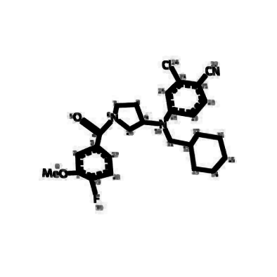 COc1cc(C(=O)N2CCC(N(CC3CCCCC3)c3ccc(C#N)c(Cl)c3)C2)ccc1F